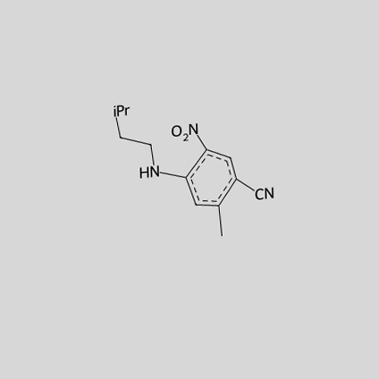 Cc1cc(NCCC(C)C)c([N+](=O)[O-])cc1C#N